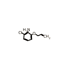 C=CCOc1cccc(Cl)c1N